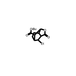 CCC1C2CCC3C(OC(=O)C13)C2C(=O)OCC(C)C